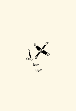 O=C([O-])[O-].O=S(=O)([O-])[O-].[Ba+2].[Ba+2]